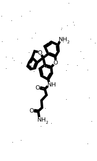 NC(=O)CCCC(=O)Nc1ccc2c(c1)Oc1cc(N)ccc1C21OCc2ccccc21